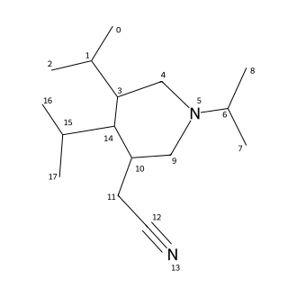 CC(C)C1CN(C(C)C)CC(CC#N)C1C(C)C